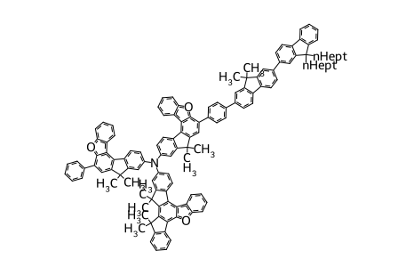 CCCCCCCC1(CCCCCCC)c2ccccc2-c2ccc(-c3ccc4c(c3)C(C)(C)c3cc(-c5ccc(-c6cc7c(c8c6oc6ccccc68)-c6ccc(N(c8ccc9c(c8)C(C)(C)c8cc(-c%10ccccc%10)c%10oc%11ccccc%11c%10c8-9)c8ccc9c(c8)C(C)(C)c8c%10c(c%11oc%12ccccc%12c%11c8-9)-c8ccccc8C%10(C)C)cc6C7(C)C)cc5)ccc3-4)cc21